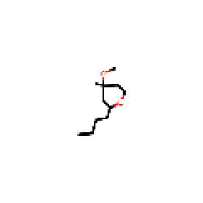 CCCCC1CC(C)(OC)CCO1